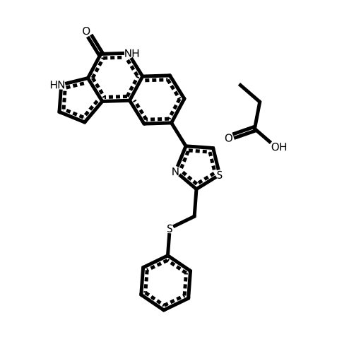 CCC(=O)O.O=c1[nH]c2ccc(-c3csc(CSc4ccccc4)n3)cc2c2cc[nH]c12